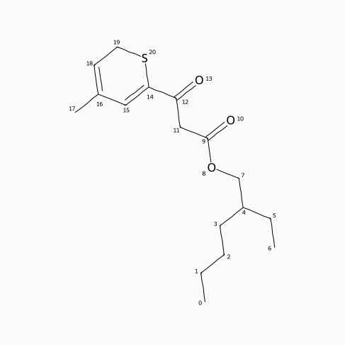 CCCCC(CC)COC(=O)CC(=O)C1=CC(C)=CCS1